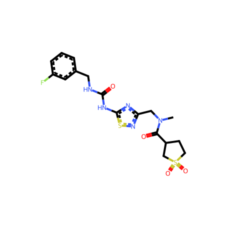 CN(Cc1nsc(NC(=O)NCc2cccc(F)c2)n1)C(=O)C1CCS(=O)(=O)C1